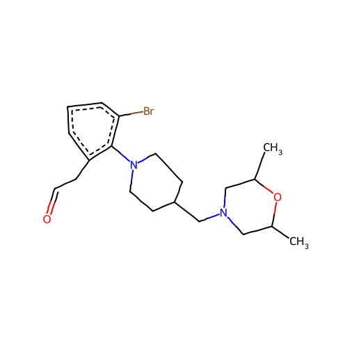 CC1CN(CC2CCN(c3c(Br)cccc3CC=O)CC2)CC(C)O1